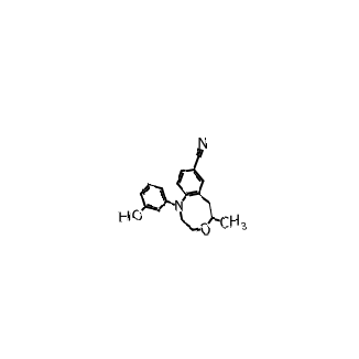 CC1Cc2cc(C#N)ccc2N(c2cccc(O)c2)CCO1